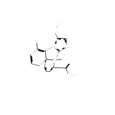 CCSc1cnc2n1C1=C(C)C=CCC13C=CC=C(C(=O)OC)[N+]23C